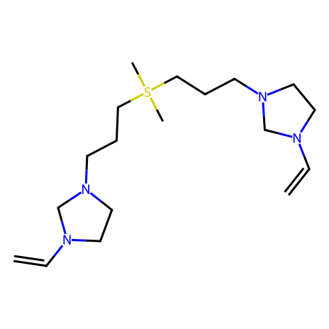 C=CN1CCN(CCCS(C)(C)CCCN2CCN(C=C)C2)C1